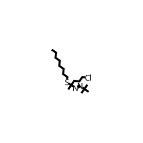 CCCCCCCCSC(C)(CCCCl)N=NC(C)(C)C